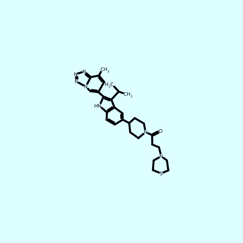 Cc1cc(-c2[nH]c3ccc(C4CCN(C(=O)CCN5CCSCC5)CC4)cc3c2C(C)C)cn2nnnc12